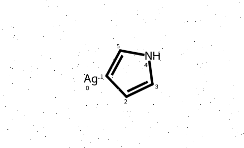 [Ag].c1cc[nH]c1